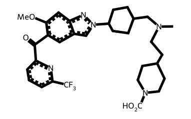 COc1cc2nn(C3CCC(CN(C)CCC4CCN(C(=O)O)CC4)CC3)cc2cc1C(=O)c1cccc(C(F)(F)F)n1